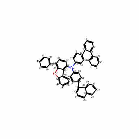 c1ccc(-c2ccccc2-c2ccc(N(c3ccc(-c4cccc5ccccc45)cc3)c3ccc(-c4ccccc4)c4oc5ccccc5c34)cc2)cc1